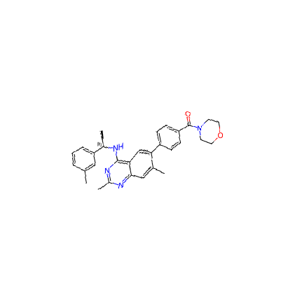 Cc1cccc([C@@H](C)Nc2nc(C)nc3cc(C)c(-c4ccc(C(=O)N5CCOCC5)cc4)cc23)c1